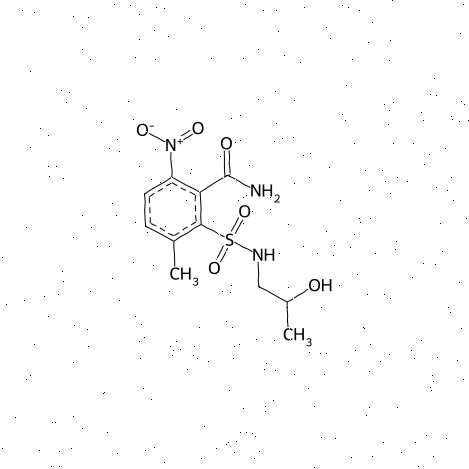 Cc1ccc([N+](=O)[O-])c(C(N)=O)c1S(=O)(=O)NCC(C)O